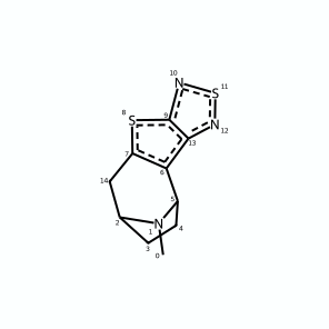 CN1C2CCC1c1c(sc3nsnc13)C2